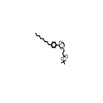 CCCCCCCCc1ccc(C2CN(CCC(=O)OC(C)(C)C)CCO2)cc1